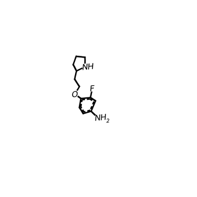 Nc1ccc(OCCC2CCCN2)c(F)c1